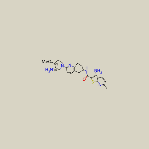 CO[C@H]1CCN(c2ccc3c(n2)CC[C@H](NC(=O)c2sc4nc(C)ccc4c2N)C3)C[C@@H]1N